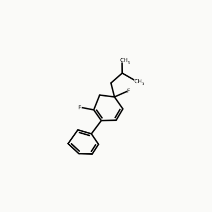 CC(C)CC1(F)C=CC(c2ccccc2)=C(F)C1